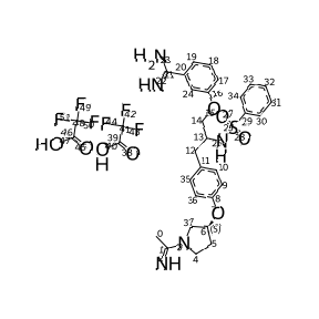 CC(=N)N1CC[C@H](Oc2ccc(CC(COc3cccc(C(=N)N)c3)NS(=O)(=O)c3ccccc3)cc2)C1.O=C(O)C(F)(F)F.O=C(O)C(F)(F)F